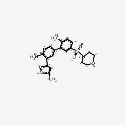 Cc1cc(-c2cc(-c3cc(S(=O)(=O)N4CCOCC4)ccc3C)cnc2N)on1